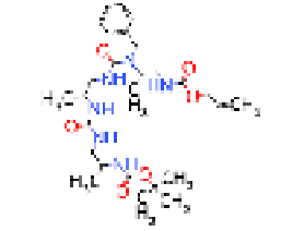 C=CCOC(=O)NC[C@H](C)N(Cc1ccccc1)C(=O)NC[C@@H](C)NC(=O)NC[C@H](C)NC(=O)OC(C)(C)C